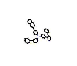 c1ccc2cc(-c3ccc(N(c4ccc(-c5nccc6sc7ccccc7c56)cc4)c4ccc5sc6ccccc6c5c4)cc3)ccc2c1